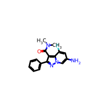 CN(C)C(=O)c1c(-c2ccccc2)nn2cc(N)cc(F)c12